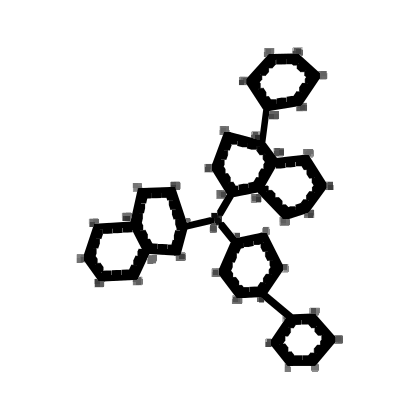 c1ccc(-c2ccc(N(c3ccc4ccccc4c3)c3ccc(-c4ccccc4)c4ccccc34)cc2)cc1